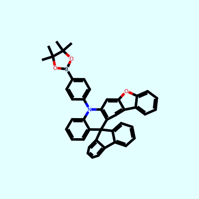 CC1(C)OB(c2ccc(N3c4ccccc4C4(c5ccccc5-c5ccccc54)c4cc5c(cc43)oc3ccccc35)cc2)OC1(C)C